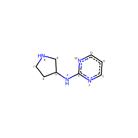 c1cnc(NC2CCNC2)nc1